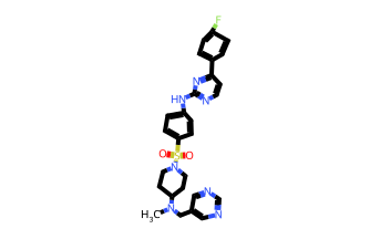 CN(Cc1cncnc1)C1CCN(S(=O)(=O)c2ccc(Nc3nccc(-c4ccc(F)cc4)n3)cc2)CC1